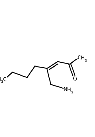 CCCCC(=CC(C)=O)CN